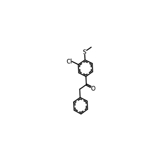 CSc1ccc(C(=O)Cc2ccccc2)cc1Cl